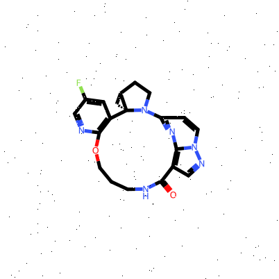 O=C1NCCCOc2ncc(F)cc2[C@@]23CC2CCN3c2ccn3ncc1c3n2